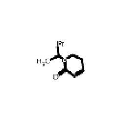 CC(C)C(C)N1CCC=CC1=O